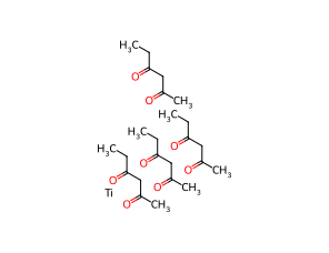 CCC(=O)CC(C)=O.CCC(=O)CC(C)=O.CCC(=O)CC(C)=O.CCC(=O)CC(C)=O.[Ti]